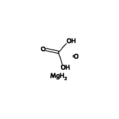 O=C(O)O.[MgH2].[O]